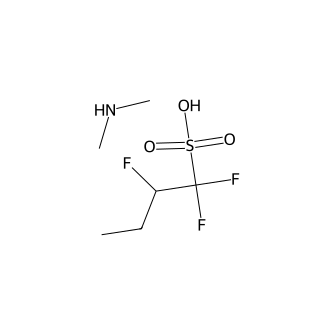 CCC(F)C(F)(F)S(=O)(=O)O.CNC